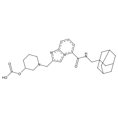 O=C(O)OC1CCCN(Cc2cn3c(C(=O)NCC45CC6CC(CC(C6)C4)C5)cccc3n2)C1